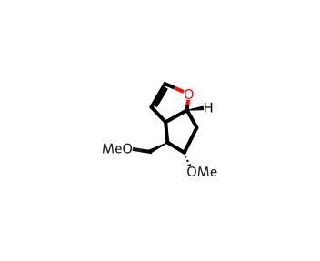 COC[C@H]1C2C=CO[C@@H]2C[C@@H]1OC